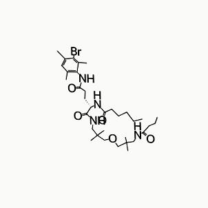 CCCCCC(=O)N[C@@H](CCC(=O)Nc1c(C)cc(C)c(Br)c1C)C(=O)NCC(C)(C)COCC(C)(C)CNC(=O)CCC